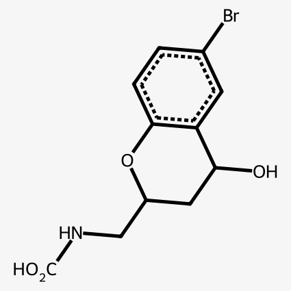 O=C(O)NCC1CC(O)c2cc(Br)ccc2O1